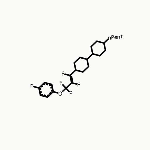 CCCCCC1CCC(C2CCC(/C(F)=C(\F)C(F)(F)Oc3ccc(F)cc3)CC2)CC1